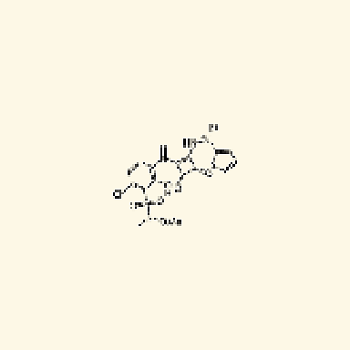 CC[C@@H](Nc1c(Nc2ccc(Cl)c(S(=O)(=O)N(C)OC)c2O)c(=O)c1=O)c1cccs1